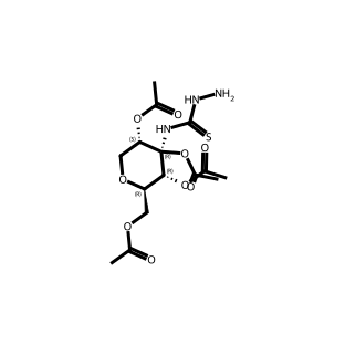 CC(=O)OC[C@H]1OC[C@H](OC(C)=O)[C@@](NC(=S)NN)(OC(C)=O)[C@@H]1OC(C)=O